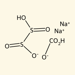 O=C([O-])O.O=S([O-])S(=O)O.[Na+].[Na+]